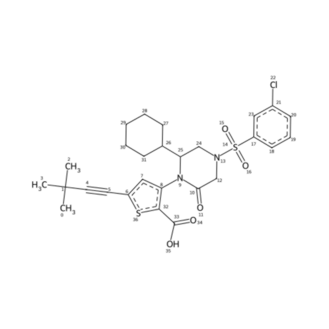 CC(C)(C)C#Cc1cc(N2C(=O)CN(S(=O)(=O)c3cccc(Cl)c3)CC2C2CCCCC2)c(C(=O)O)s1